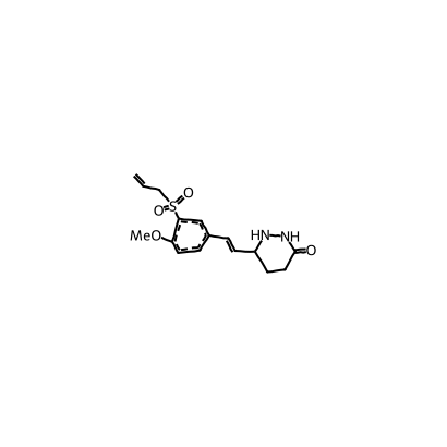 C=CCS(=O)(=O)c1cc(/C=C/C2CCC(=O)NN2)ccc1OC